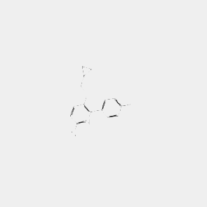 Nc1ccc(OCC2CC2)c(-c2ccc(Cl)cc2)n1